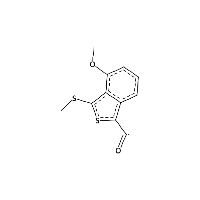 COc1cccc2c([C]=O)sc(SC)c12